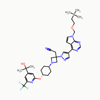 CC(C)(O)c1cc(O[C@H]2CC[C@H](N3CC(CC#N)(n4cc(-c5ncnc6c5ccn6COCC[Si](C)(C)C)cn4)C3)CC2)nc(C(F)(F)F)c1